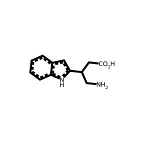 NCC(CC(=O)O)c1cc2ccccc2[nH]1